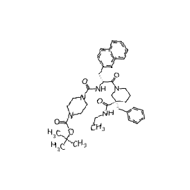 CCNC(=O)[C@]1(Cc2ccccc2)CCCN(C(=O)[C@@H](Cc2ccc3ccccc3c2)NC(=O)N2CCN(C(=O)OC(C)(C)C)CC2)C1